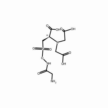 NCC(=O)NOS(=O)(=O)C[C@@H](C(=O)O)N(CC(=O)O)CC(=O)O